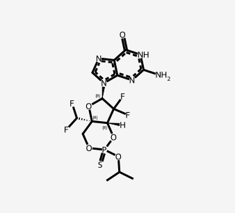 CC(C)OP1(=S)OC[C@@]2(C(F)F)O[C@@H](n3cnc4c(=O)[nH]c(N)nc43)C(F)(F)[C@@H]2O1